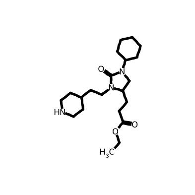 CCOC(=O)CCC1CN(C2CCCCC2)C(=O)N1CCC1CCNCC1